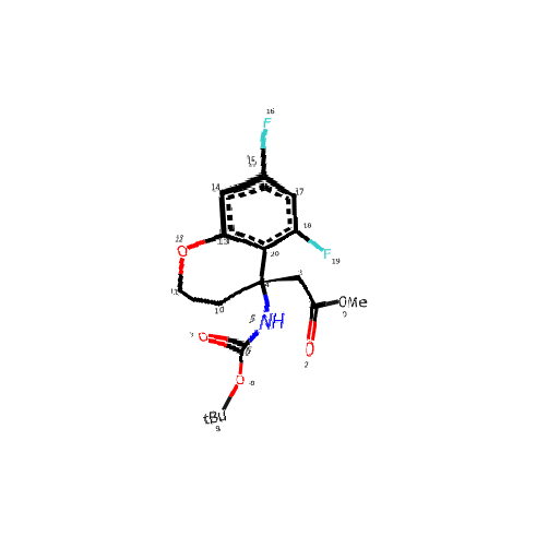 COC(=O)C[C@@]1(NC(=O)OC(C)(C)C)CCOc2cc(F)cc(F)c21